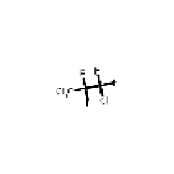 FC(F)(Cl)C(F)(F)C(Cl)(Cl)Cl